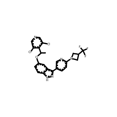 CC(Oc1ccc2[nH]nc(-c3ccc(N4CC(C(F)(F)F)C4)nc3)c2c1)c1c(Cl)cncc1Cl